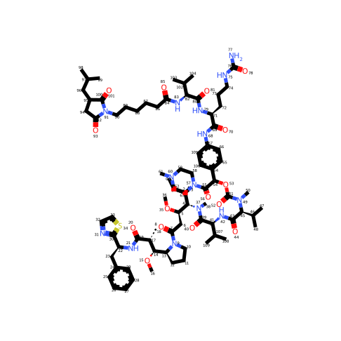 CC[C@H](C)[C@@H]([C@@H](CC(=O)N1CCC[C@H]1[C@H](OC)[C@@H](C)C(=O)N[C@@H](Cc1ccccc1)c1nccs1)OC)N(C)C(=O)[C@@H](NC(=O)[C@H](C(C)C)N(C)C(=O)OC(C(=O)N1CCN(C)CC1)c1ccc(NC(=O)[C@H](CCCNC(N)=O)NC(=O)[C@@H](NC(=O)CCCCCN2C(=O)CC(CC(C)C)C2=O)C(C)C)cc1)C(C)C